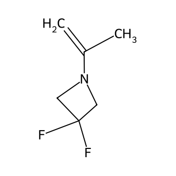 C=C(C)N1CC(F)(F)C1